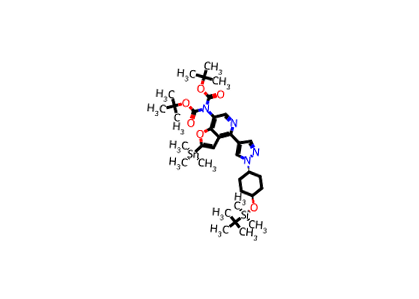 CC(C)(C)OC(=O)N(C(=O)OC(C)(C)C)c1cnc(-c2cnn([C@H]3CC[C@H](O[Si](C)(C)C(C)(C)C)CC3)c2)c2c[c]([Sn]([CH3])([CH3])[CH3])oc12